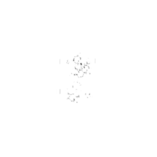 COc1nccc(C)c1[C@H]1CC[C@H](c2cc3ncc(C)nc3n(Cc3ncccc3C(F)(F)F)c2=O)CC1